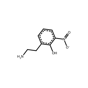 NCCc1cccc([N+](=O)[O-])c1O